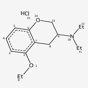 CCOc1cccc2c1CC(N(CC)CC)CO2.Cl